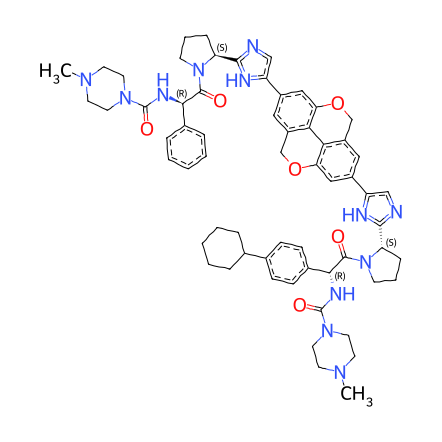 CN1CCN(C(=O)N[C@@H](C(=O)N2CCC[C@H]2c2ncc(-c3cc4c5c(c3)OCc3cc(-c6cnc([C@@H]7CCCN7C(=O)[C@H](NC(=O)N7CCN(C)CC7)c7ccc(C8CCCCC8)cc7)[nH]6)cc(c3-5)OC4)[nH]2)c2ccccc2)CC1